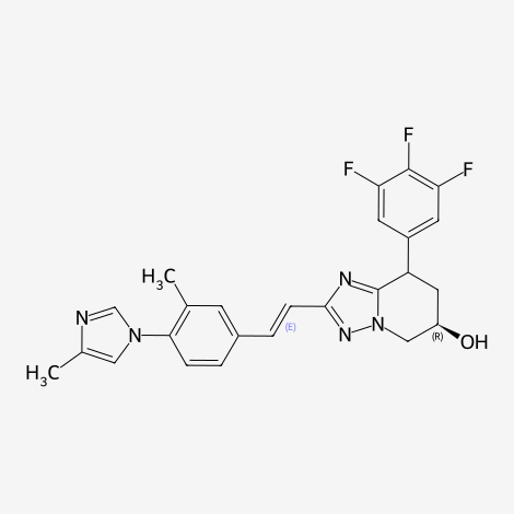 Cc1cn(-c2ccc(/C=C/c3nc4n(n3)C[C@H](O)CC4c3cc(F)c(F)c(F)c3)cc2C)cn1